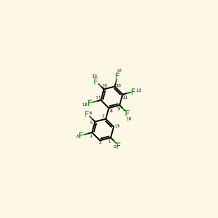 Fc1cc(F)c(F)c(-c2c(F)c(F)c(F)c(F)c2F)c1